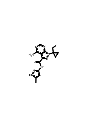 Cc1cc(NC(=O)c2nn(C3(CF)CC3)c3ncnc(N)c23)n[nH]1